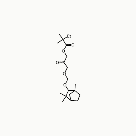 CCC(C)(C)C(=O)OCC(=O)COCOC1C2(C)CCC(C2)C1(C)C